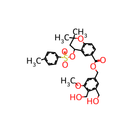 COc1cc(COC(=O)c2ccc3c(c2)C(OS(=O)(=O)c2ccc(C)cc2)CC(C)(C)O3)cc(CO)c1CO